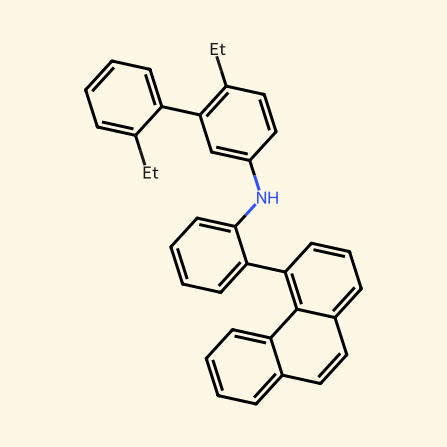 CCc1ccccc1-c1cc(Nc2ccccc2-c2cccc3ccc4ccccc4c23)ccc1CC